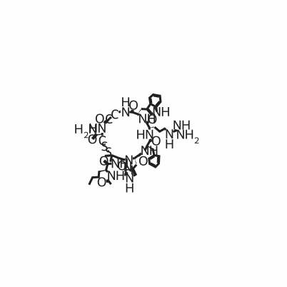 CCCC[C@H](NC(C)=O)C(=O)N[C@@H]1C(=O)N[C@@H](Cc2c[nH]cn2)C(=O)N[C@H](Cc2ccccc2)C(=O)N[C@@H](CCCNC(=N)N)C(=O)N[C@@H](Cc2c[nH]c3ccccc23)C(=O)NCCCC(=O)N[C@H](C(N)=O)CSSC1(C)C